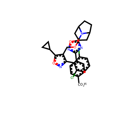 O=C(O)c1ccc(-c2noc(N3C4CCC3CC(OCc3c(-c5c(Cl)cccc5Cl)noc3C3CC3)C4)n2)cc1